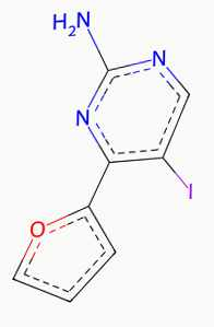 Nc1ncc(I)c(-c2ccco2)n1